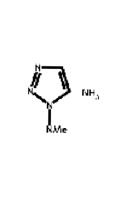 CNn1ccnn1.N